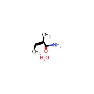 CC=C(C)C(N)=O.O